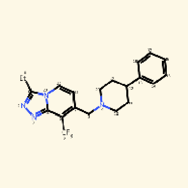 CCc1nnc2c(C(F)(F)F)c(CN3CCC(c4ccccc4)CC3)ccn12